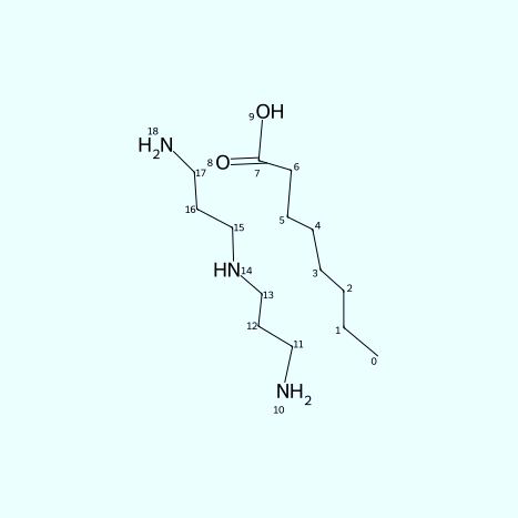 CCCCCCCC(=O)O.NCCCNCCCN